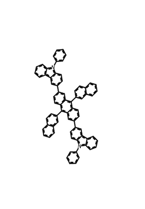 c1ccc(-n2c3ccccc3c3cc(-c4ccc5c(-c6ccc7ccccc7c6)c6cc(-c7ccc8c(c7)c7ccccc7n8-c7ccccc7)ccc6c(-c6ccc7ccccc7c6)c5c4)ccc32)cc1